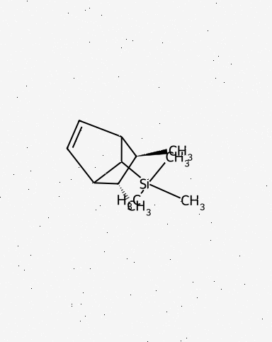 C[C@@H]1C2C=CC(C2[Si](C)(C)C)[C@H]1C